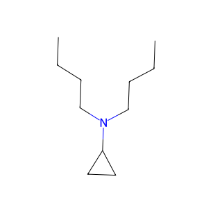 CCCCN(CCCC)C1CC1